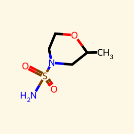 CC1CN(S(N)(=O)=O)CCO1